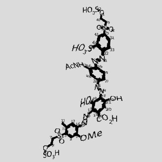 COc1cc(S(=O)(=O)CCOS(=O)(=O)O)c(C)cc1N=Nc1c(C(=O)O)cc(O)c(N=Nc2ccc(N=Nc3ccc(S(=O)(=O)CCOS(=O)(=O)O)cc3S(=O)(=O)O)c(NC(C)=O)c2)c1O